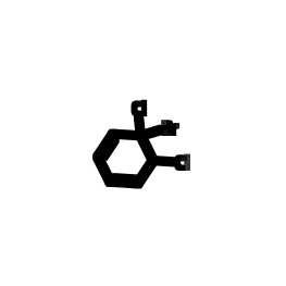 ClC1C=CC=CC1(Cl)Br